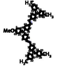 COc1ccc(N(c2ccc(/C=C/c3ccc(N(c4ccc(C)cc4)c4ccc(C)cc4)cc3)cc2)c2ccc(/C=C/c3ccc(N(c4ccc(C)cc4)c4ccc(C)cc4)cc3)cc2)cc1